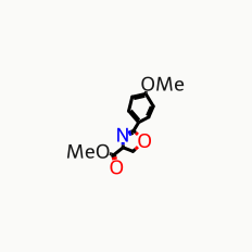 COC(=O)C1COC(c2ccc(OC)cc2)=N1